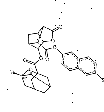 O=C1OC2C3CC(C2OC(=O)C24CC5CC(C2)C(=O)[C@H](C5)C4)C(C(=O)Oc2ccc4cc(S(=O)(=O)O)ccc4c2)C13